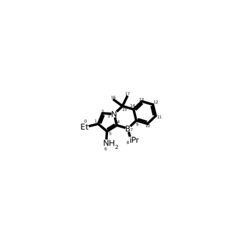 CCc1cn2c(c1N)B(C(C)C)c1ccccc1C2(C)C